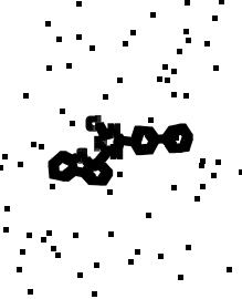 Clc1nc(-c2ccc(-c3ccccc3)cc2)nc(-c2cccc3c2sc2ccccc23)n1